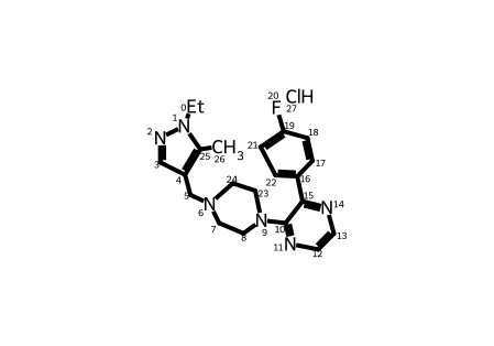 CCn1ncc(CN2CCN(c3nccnc3-c3ccc(F)cc3)CC2)c1C.Cl